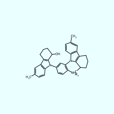 Cc1ccc2c(c1)c1c(n2-c2cc(-n3c4c(c5cc(C)ccc53)CCCC4O)ccc2N)C(C)CCC1